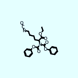 CCOC(=O)C(CCCCN=C=O)N(C(=O)Oc1ccccc1)C(=O)Oc1ccccc1